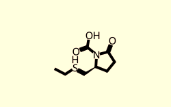 CC[SH]=C[C@@H]1CCC(=O)N1C(=O)O